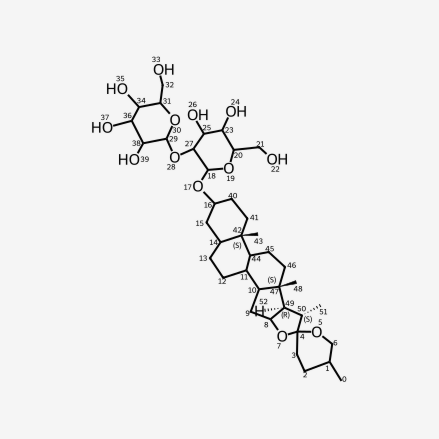 CC1CCC2(OC1)OC1CC3C4CCC5CC(OC6OC(CO)C(O)C(O)C6OC6OC(CO)C(O)C(O)C6O)CC[C@]5(C)C4CC[C@]3(C)[C@H]1[C@@H]2C